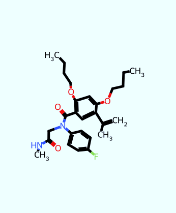 C=C(C)c1cc(C(=O)N(CC(=O)NC)c2ccc(F)cc2)c(OCCCC)cc1OCCCC